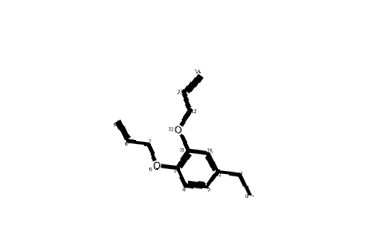 [CH2]Cc1ccc(OCC=C)c(OCC=C)c1